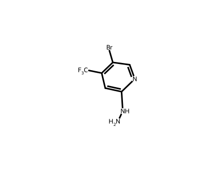 NNc1cc(C(F)(F)F)c(Br)cn1